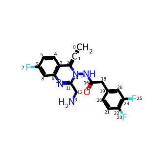 C=C=C1c2ccc(F)cc2N=C(CN)N1NC(=O)Cc1ccc(F)c(F)c1